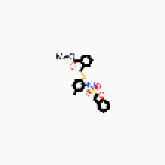 COC(=O)c1ccccc1CSc1ccc(C)cc1NS(=O)(=O)c1cc2ccccc2o1